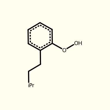 CC(C)CCc1ccccc1OO